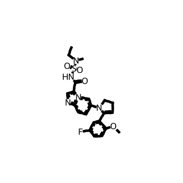 CCN(C)S(=O)(=O)NC(=O)c1cnc2ccc(N3CCC=C3c3cc(F)ccc3OC)cn12